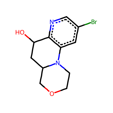 OC1CC2COCCN2c2cc(Br)cnc21